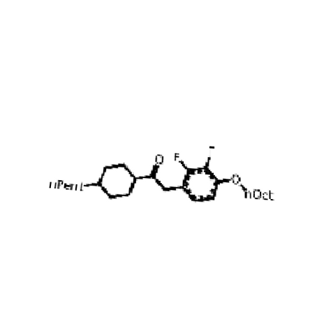 CCCCCCCCOc1ccc(CC(=O)C2CCC(CCCCC)CC2)c(F)c1F